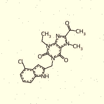 CCn1c(=O)n(Cc2cc3c(Cl)cccc3[nH]2)c(=O)c2c1nc(C(C)=O)n2C